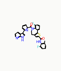 Cc1cccc(F)c1NC(=O)c1cc2c(s1)-c1cccc(F)c1N(C(=O)c1cccc(-c3c[nH]c4ncccc34)n1)CC2